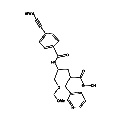 CCCCCC#Cc1ccc(C(=O)NC(COCOC)CC(Cc2cccnc2)C(=O)NO)cc1